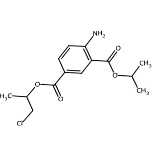 CC(C)OC(=O)c1cc(C(=O)OC(C)CCl)ccc1N